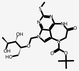 CSc1nc2c3c(cn(CO[C@H](CO)[C@@H](O)[C@H](C)O)c3n1)N(C(=O)OC(C)(C)C)CC(=O)N2